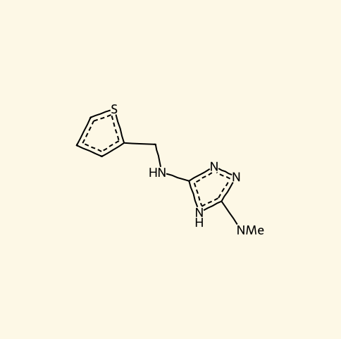 CNc1nnc(NCc2cccs2)[nH]1